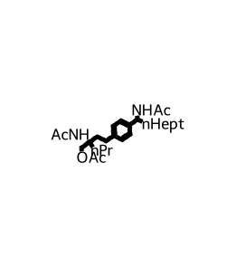 CCCCCCCC(NC(C)=O)c1ccc(CCC(CCC)(COC(C)=O)NC(C)=O)cc1